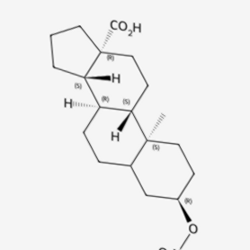 C[C@]12CC[C@@H](O[N+](=O)[O-])CC1CC[C@H]1[C@@H]3CCC[C@@]3(C(=O)O)CC[C@@H]12